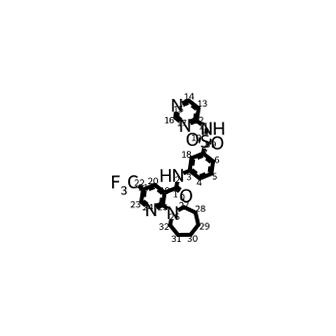 O=C(Nc1cccc(S(=O)(=O)Nc2ccncn2)c1)c1cc(C(F)(F)F)cnc1N1CCCCCC1